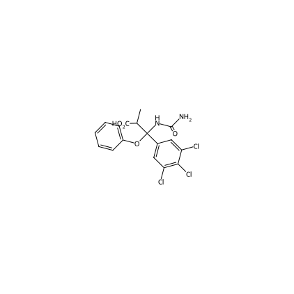 CC(C(=O)O)C(NC(N)=O)(Oc1ccccc1)c1cc(Cl)c(Cl)c(Cl)c1